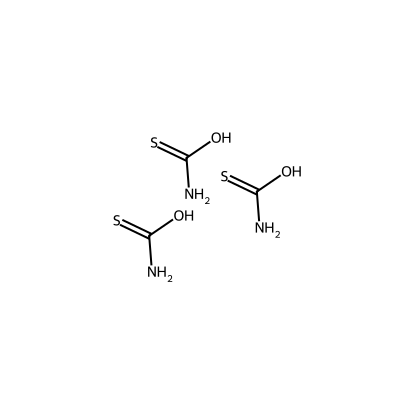 NC(O)=S.NC(O)=S.NC(O)=S